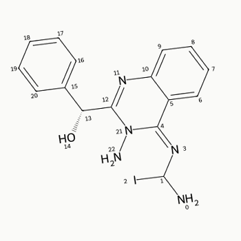 NC(I)/N=c1/c2ccccc2nc([C@H](O)c2ccccc2)n1N